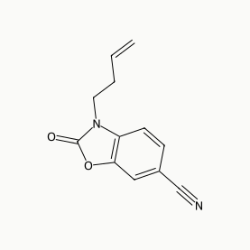 C=CCCn1c(=O)oc2cc(C#N)ccc21